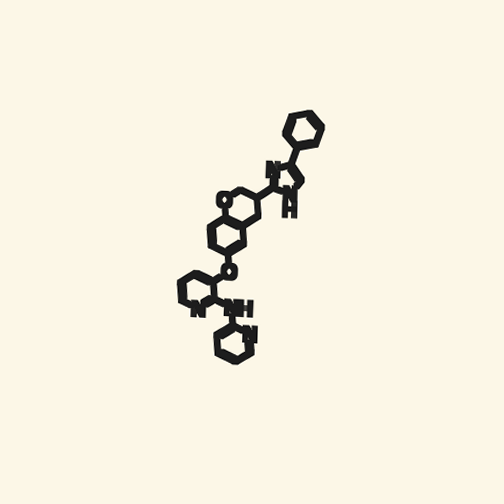 c1ccc(-c2c[nH]c(C3COc4ccc(Oc5cccnc5Nc5ccccn5)cc4C3)n2)cc1